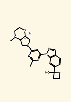 Cc1nc(N2CC3[C@H](C2)OCCN3C)cc(-n2ncc3ccc(C4(C#N)CCC4)cc32)n1